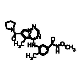 CONC(=O)c1ccc(C)c(Nc2ncnn3cc(C(=O)N4CCCC4)c(C)c23)c1